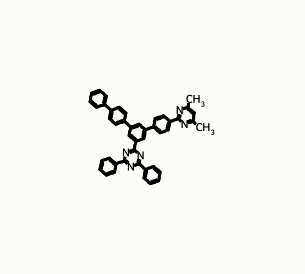 Cc1cc(C)nc(-c2ccc(-c3cc(-c4ccc(-c5ccccc5)cc4)cc(-c4nc(-c5ccccc5)nc(-c5ccccc5)n4)c3)cc2)n1